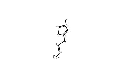 CCC=CCC1=CC(C)=CC1